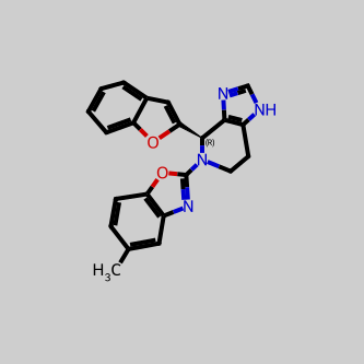 Cc1ccc2oc(N3CCc4[nH]cnc4[C@@H]3c3cc4ccccc4o3)nc2c1